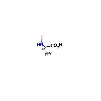 CCC[C@H](NI)C(=O)O